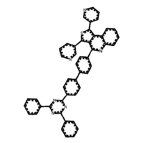 c1ccc(-c2nc(-c3ccccc3)nc(-c3ccc(-c4ccc(-c5nc6ccccc6c6c(-c7cccnc7)sc(-c7cccnc7)c56)cc4)cc3)n2)cc1